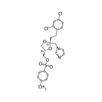 Cc1ccc(S(=O)(=O)OC[C@H]2CO[C@](CCc3ccc(Cl)cc3Cl)(Cn3ccnc3)O2)cc1